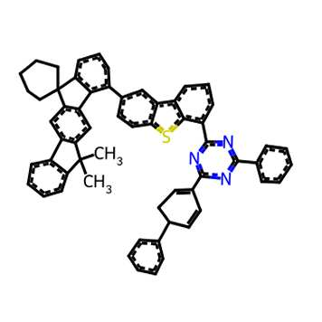 CC1(C)c2ccccc2-c2cc3c(cc21)-c1c(-c2ccc4sc5c(-c6nc(C7=CCC(c8ccccc8)C=C7)nc(-c7ccccc7)n6)cccc5c4c2)cccc1C31CCCCC1